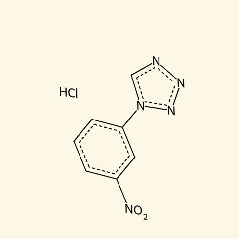 Cl.O=[N+]([O-])c1cccc(-n2cnnn2)c1